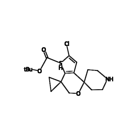 CC(C)(C)OC(=O)[SH]1C(Cl)=CC2=C1C1(CC1)COC21CCNCC1